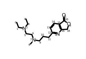 CCN(CC)CCN(C)CCCc1ccc2c(n1)COC2=O